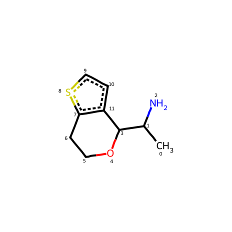 CC(N)C1OCCc2sccc21